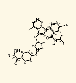 Cc1cncc2c1c(C[C@H]1CCN(CC3CCN(C(=O)[C@@H](C)O)CC3)C1)cn2-c1ccc(F)cc1C(=O)N(C)C(C)C